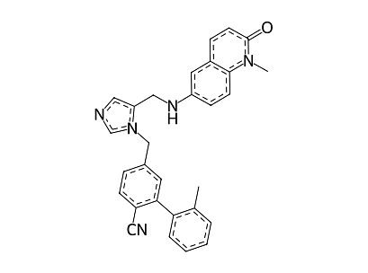 Cc1ccccc1-c1cc(Cn2cncc2CNc2ccc3c(ccc(=O)n3C)c2)ccc1C#N